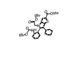 COC(=O)c1cc2c(s1)c(-c1ccccc1)c(-c1ccccc1NC(=O)OC(C)(C)C)n2CC(=O)OC(C)(C)C